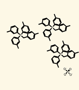 Cc1ccc(C[P+](c2cccc(C)c2)(c2cccc(C)c2)c2cccc(C)c2)cc1.Cc1ccc(C[P+](c2cccc(C)c2)(c2cccc(C)c2)c2cccc(C)c2)cc1.Cc1ccc(C[P+](c2cccc(C)c2)(c2cccc(C)c2)c2cccc(C)c2)cc1.O=P([O-])([O-])[O-]